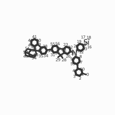 Cc1cccc(-c2ccc(N(c3ccc([Si](C)(C)C)cc3)c3ccc4c(c3)C(C)(C)c3cc(-c5ccc6c(c5)-c5ccccc5C65C6CC7CC(C6)CC5C7)ccc3-4)cc2)c1